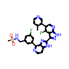 Cc1ccncc1-c1cnc2[nH]nc(-c3nc4c(-c5cc(F)cc(CNS(C)(=O)=O)c5)nccc4[nH]3)c2c1F